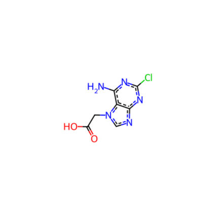 Nc1nc(Cl)nc2ncn(CC(=O)O)c12